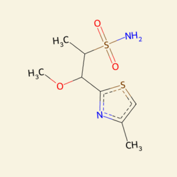 COC(c1nc(C)cs1)C(C)S(N)(=O)=O